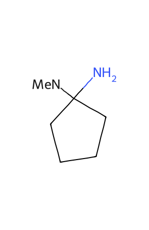 CNC1(N)CCCC1